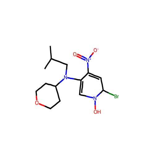 CC(C)CN(C1=CN(O)C(Br)C=C1[N+](=O)[O-])C1CCOCC1